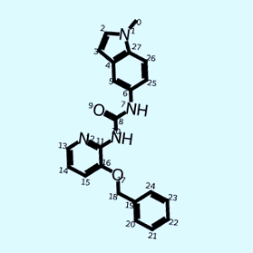 Cn1ccc2cc(NC(=O)Nc3ncccc3OCc3ccccc3)ccc21